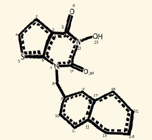 O=c1c2ccsc2n(Cc2ccc3ccccc3c2)c(=O)n1O